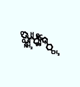 CC(C)CC(NC(=NC(N)=O)N1CCOCC1)C(=O)NC1(C#N)CCN(C2CCC(C)CC2)C1